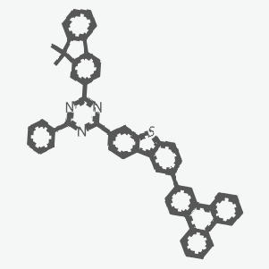 CC1(C)c2ccccc2-c2ccc(-c3nc(-c4ccccc4)nc(-c4ccc5c(c4)sc4ccc(-c6ccc7c8ccccc8c8ccccc8c7c6)cc45)n3)cc21